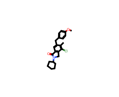 COc1ccc(Cc2cc3c(c(Cl)c2C)CN(C2CCCCC2)C3=O)cc1